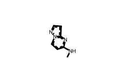 CNc1ccn2nccc2n1